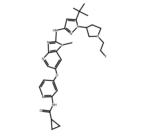 Cn1c(Nc2cc(C(C)(C)C)n(C3CCN(CCF)C3)n2)nc2ncc(Oc3ccnc(NC(=O)C4CC4)c3)cc21